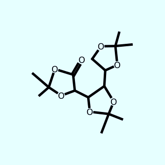 CC1(C)OCC(C2OC(C)(C)OC2C2OC(C)(C)OC2=O)O1